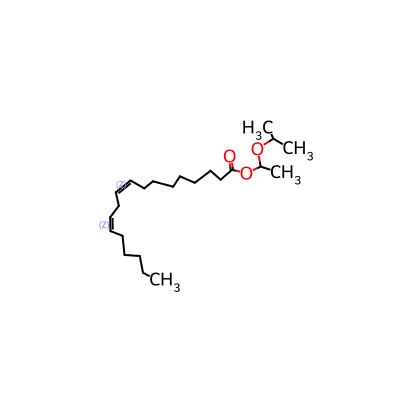 CCCCC/C=C\C/C=C\CCCCCCCC(=O)OC(C)OC(C)C